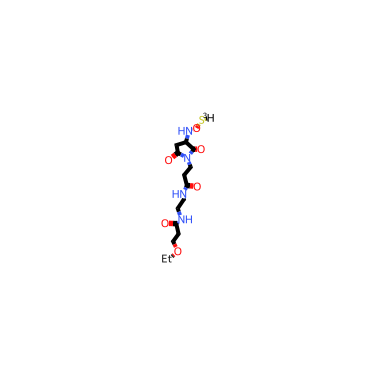 [3H]SONC1CC(=O)N(CCC(=O)NCCNC(=O)CCOCC)C1=O